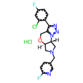 Cl.Fc1ccc(-c2nnn3c2CO[C@@H]2CN(Cc4ccc(F)nc4)C[C@H]23)c(Cl)c1